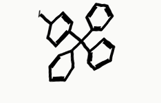 IC1C=CC(C(c2ccccc2)(c2ccccc2)C2C=CC=CC2)=CC1